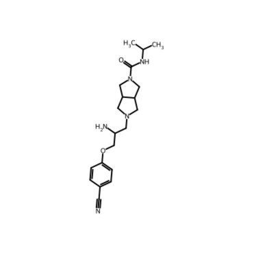 CC(C)NC(=O)N1CC2CN(CC(N)COc3ccc(C#N)cc3)CC2C1